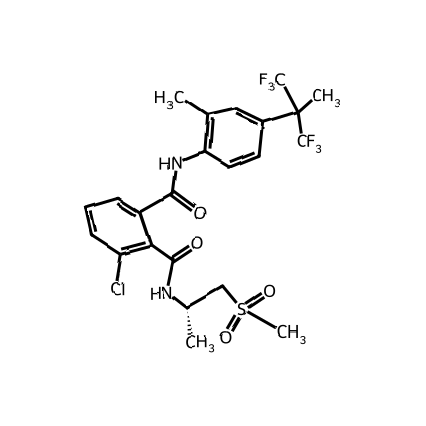 Cc1cc(C(C)(C(F)(F)F)C(F)(F)F)ccc1NC(=O)c1cccc(Cl)c1C(=O)N[C@@H](C)CS(C)(=O)=O